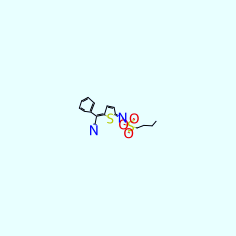 CCCCS(=O)(=O)ON=C1C=CC(=C(C#N)c2ccccc2)S1